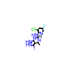 [2H]C1(Nc2ncc(F)cc2Cl)N=C(C)C2=C(I)NNC2=N1